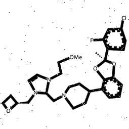 COCCN1C=CN(C[C@@H]2CCO2)C1CN1CCC(c2cccc3c2O[C@@](C)(c2ccc(Cl)cc2F)O3)CC1